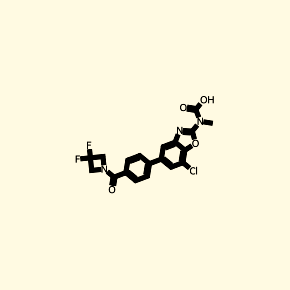 CN(C(=O)O)c1nc2cc(-c3ccc(C(=O)N4CC(F)(F)C4)cc3)cc(Cl)c2o1